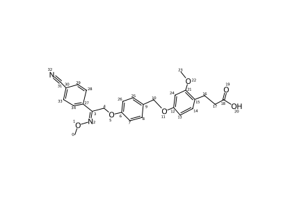 CON=C(COc1ccc(COc2ccc(CCC(=O)O)c(OC)c2)cc1)c1ccc(C#N)cc1